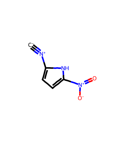 [C-]#[N+]c1ccc([N+](=O)[O-])[nH]1